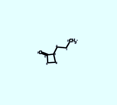 [CH2]CCC1CCC1=O